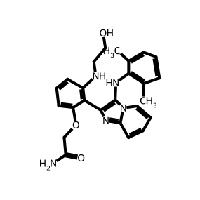 Cc1cccc(C)c1Nc1c(-c2c(NCCO)cccc2OCC(N)=O)nc2ccccn12